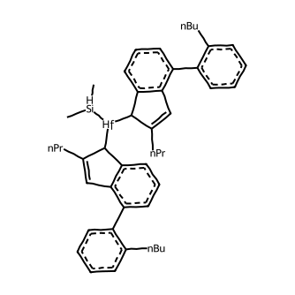 CCCCc1ccccc1-c1cccc2c1C=C(CCC)[CH]2[Hf]([CH]1C(CCC)=Cc2c(-c3ccccc3CCCC)cccc21)[SiH](C)C